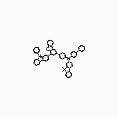 CC1(C)c2ccccc2-c2ccc(N(c3ccc(-c4ccccc4)cc3)c3ccc(-c4cc(-c5ccc6c7ccccc7n(-c7ccccc7)c6c5)c5oc6ccccc6c5c4)cc3)cc21